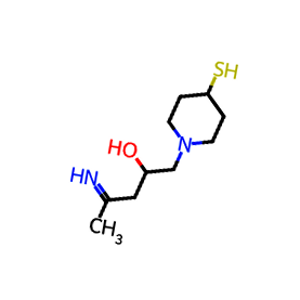 CC(=N)CC(O)CN1CCC(S)CC1